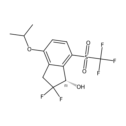 CC(C)Oc1ccc(S(=O)(=O)C(F)(F)F)c2c1CC(F)(F)[C@H]2O